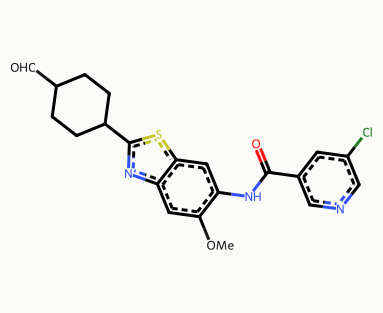 COc1cc2nc(C3CCC(C=O)CC3)sc2cc1NC(=O)c1cncc(Cl)c1